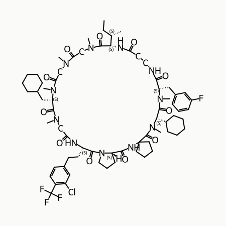 CC[C@H](C)[C@@H]1NC(=O)CCNC(=O)[C@H](Cc2cccc(F)c2)N(C)C(=O)[C@H](C2CCCCC2)N(C)C(=O)C2(CCCC2)NC(=O)[C@@H]2CCCN2C(=O)[C@H](CCc2ccc(C(F)(F)F)c(Cl)c2)NC(=O)CN(C)C(=O)[C@H](CC2CCCCC2)N(C)C(=O)CN(C)C(=O)CN(C)C1=O